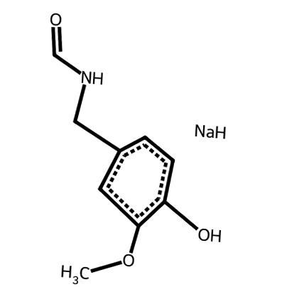 COc1cc(CNC=O)ccc1O.[NaH]